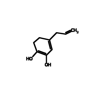 C=CCC1=CC(O)=C(O)CC1